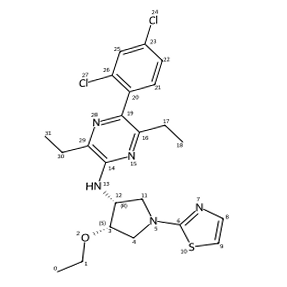 CCO[C@H]1CN(c2nccs2)C[C@H]1Nc1nc(CC)c(-c2ccc(Cl)cc2Cl)nc1CC